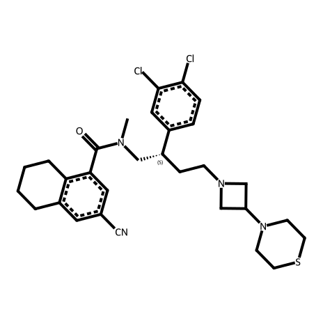 CN(C[C@@H](CCN1CC(N2CCSCC2)C1)c1ccc(Cl)c(Cl)c1)C(=O)c1cc(C#N)cc2c1CCCC2